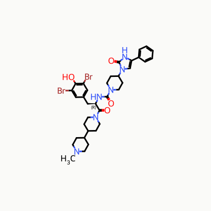 CN1CCC(C2CCN(C(=O)[C@@H](Cc3cc(Br)c(O)c(Br)c3)NC(=O)N3CCC(n4cc(-c5ccccc5)[nH]c4=O)CC3)CC2)CC1